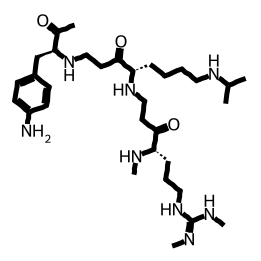 C/N=C(/NC)NCCC[C@H](NC)C(=O)CCN[C@@H](CCCCNC(C)C)C(=O)CCN[C@@H](Cc1ccc(N)cc1)C(C)=O